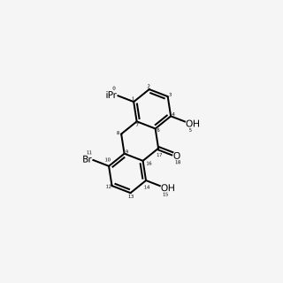 CC(C)c1ccc(O)c2c1Cc1c(Br)ccc(O)c1C2=O